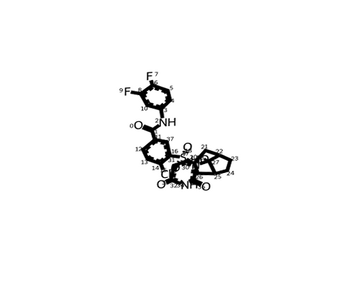 O=C(Nc1ccc(F)c(F)c1)c1ccc(Cl)c(S(=O)(=O)[C@H]2CC3CCC(C2)[C@]3(O)n2ccc(=O)[nH]c2=O)c1